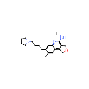 CCNc1nc2cc(CCCCN3CCCC3)c(C)cc2c2c1COC2